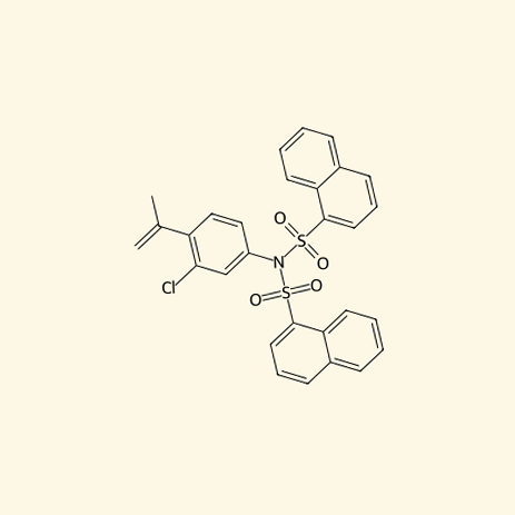 C=C(C)c1ccc(N(S(=O)(=O)c2cccc3ccccc23)S(=O)(=O)c2cccc3ccccc23)cc1Cl